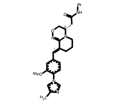 COc1cc(/C=C2\CCCN3C2=NOC[C@@H]3CC(=O)NC(C)C)ccc1-n1cnc(C)c1